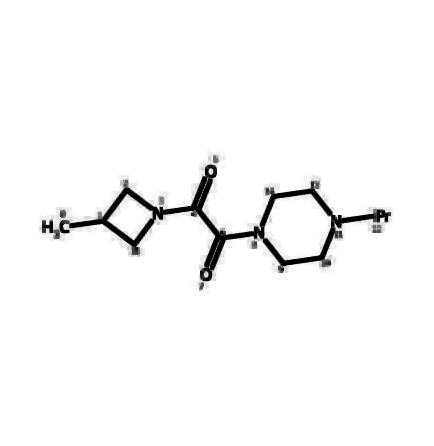 CC1CN(C(=O)C(=O)N2CCN(C(C)C)CC2)C1